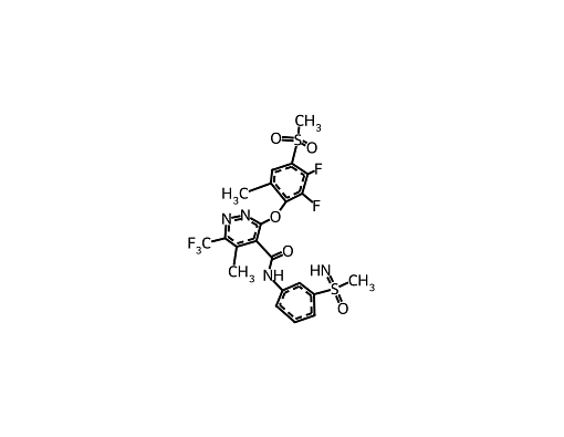 Cc1cc(S(C)(=O)=O)c(F)c(F)c1Oc1nnc(C(F)(F)F)c(C)c1C(=O)Nc1cccc(S(C)(=N)=O)c1